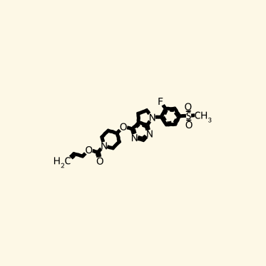 C=CCOC(=O)N1CCC(Oc2ncnc3c2CCN3c2ccc(S(C)(=O)=O)cc2F)CC1